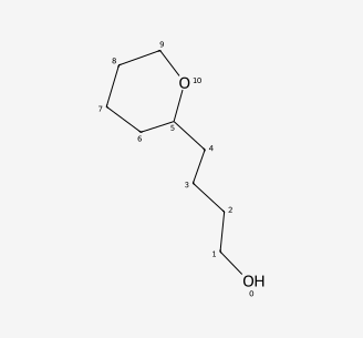 OCCCCC1CCCCO1